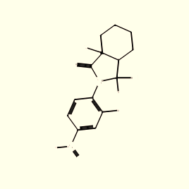 O=C1N(c2ccc([N+](=O)[O-])cc2F)C(Cl)(Cl)C2CCCCC12Cl